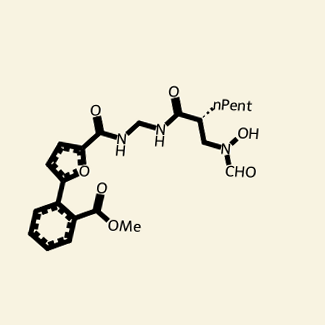 CCCCC[C@H](CN(O)C=O)C(=O)NCNC(=O)c1ccc(-c2ccccc2C(=O)OC)o1